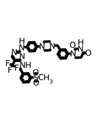 CS(=O)(=O)c1cccc(CNc2nc(Nc3ccc(N4CCN(Cc5cccc(N6CCC(=O)NC6=O)c5)CC4)cc3)ncc2C(F)(F)F)c1